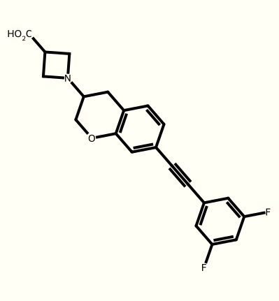 O=C(O)C1CN(C2COc3cc(C#Cc4cc(F)cc(F)c4)ccc3C2)C1